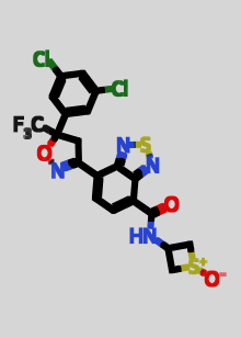 O=C(NC1C[S+]([O-])C1)c1ccc(C2=NOC(c3cc(Cl)cc(Cl)c3)(C(F)(F)F)C2)c2nsnc12